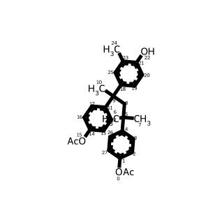 CC(=O)Oc1ccc(C(C)(C)CC(C)(c2ccc(OC(C)=O)cc2)c2ccc(O)c(C)c2)cc1